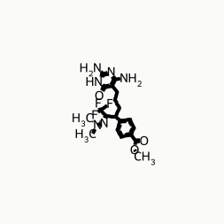 COC(=O)c1ccc(C(CCCc2c(N)nc(N)[nH]c2=O)C(=NN(C)C)C(F)(F)F)cc1